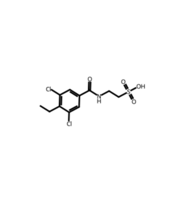 CCc1c(Cl)cc(C(=O)NCCS(=O)(=O)O)cc1Cl